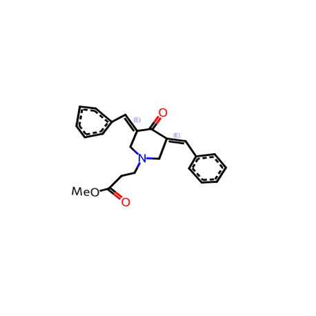 COC(=O)CCN1C/C(=C\c2ccccc2)C(=O)/C(=C/c2ccccc2)C1